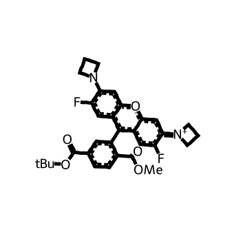 COC(=O)c1ccc(C(=O)OC(C)(C)C)cc1-c1c2cc(F)c(=[N+]3CCC3)cc-2oc2cc(N3CCC3)c(F)cc12